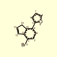 Brc1ccc(-c2ccco2)c2c1C=CC2